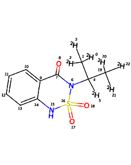 [2H]C([2H])([2H])C([2H])(N1C(=O)c2ccccc2NS1(=O)=O)C([2H])([2H])[2H]